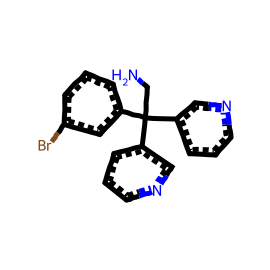 NCC(c1cccnc1)(c1cccnc1)c1cccc(Br)c1